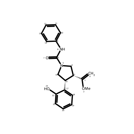 C=C(OC)[C@H]1CN(C(=O)Nc2ccccc2)C[C@H]1c1ccccc1O